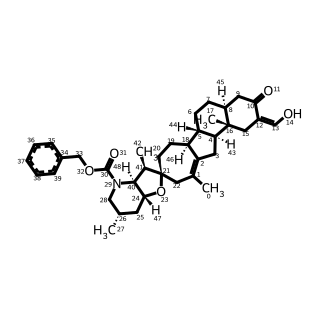 CC1=C2C[C@H]3[C@@H](CC[C@H]4CC(=O)/C(=C\O)C[C@@]43C)[C@@H]2CC[C@@]2(C1)O[C@@H]1C[C@H](C)CN(C(=O)OCc3ccccc3)[C@H]1[C@H]2C